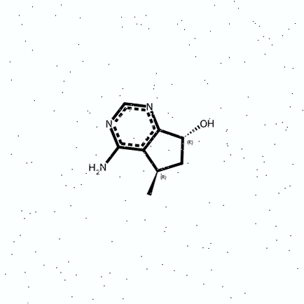 C[C@@H]1C[C@@H](O)c2ncnc(N)c21